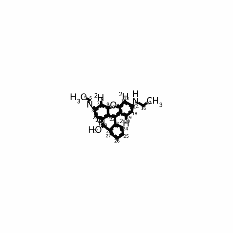 [2H]c1c/c(=N/CC)c([2H])c2oc3c([2H])c(NCC)cc([2H])c3c(-c3ccccc3C(=O)O)c1-2